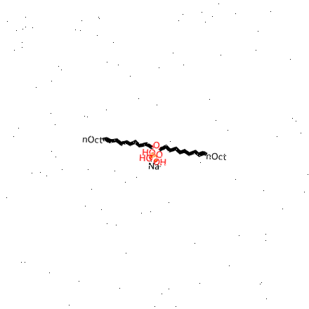 CCCCCCCCC=CCCCCCCCCOCCCCCCCCC=CCCCCCCCC.O=P(O)(O)O.[Na]